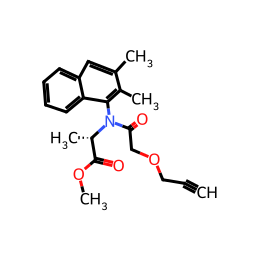 C#CCOCC(=O)N(c1c(C)c(C)cc2ccccc12)[C@@H](C)C(=O)OC